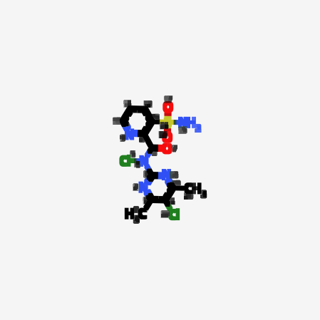 Cc1nc(N(Cl)C(=O)c2ncccc2S(N)(=O)=O)nc(C)c1Cl